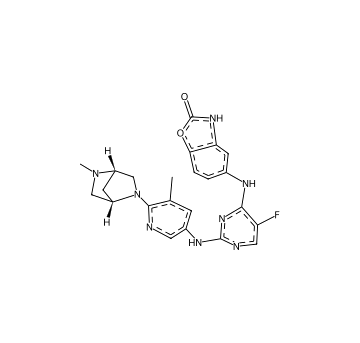 Cc1cc(Nc2ncc(F)c(Nc3ccc4oc(=O)[nH]c4c3)n2)cnc1N1C[C@@H]2C[C@H]1CN2C